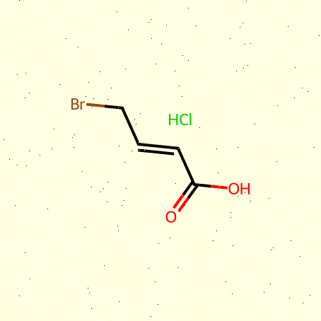 Cl.O=C(O)C=CCBr